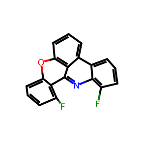 Fc1cccc2c1-c1nc3c(F)cccc3c3cccc(c13)O2